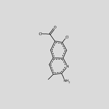 Cc1cc2cc(C(=O)Cl)c(Cl)cc2nc1N